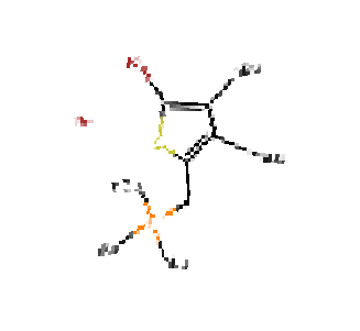 CCCCc1c(Br)sc(C[P+](CCCC)(CCCC)CCCC)c1CCCC.[Br-]